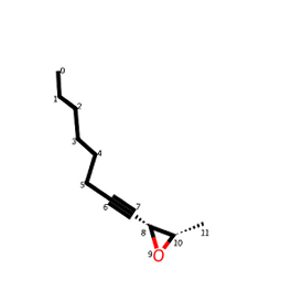 CCCCCCC#C[C@H]1O[C@H]1C